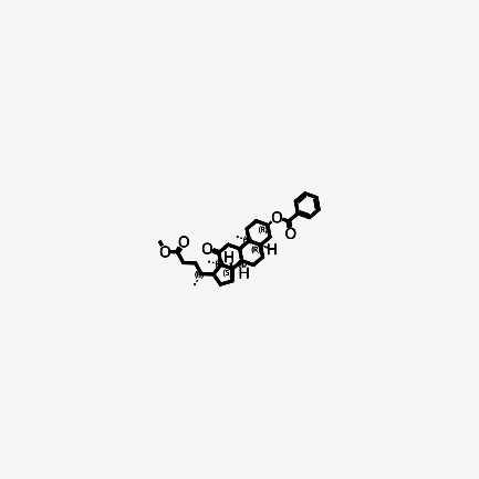 COC(=O)CC[C@@H](C)C1CC[C@H]2[C@@H]3CC[C@@H]4C[C@H](OC(=O)c5ccccc5)CC[C@]4(C)C3CC(=O)[C@]12C